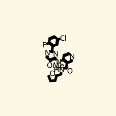 COc1cnc(-c2cc(Cl)ccc2F)nc1Nc1ccncc1C(=O)NCC1CCCO1